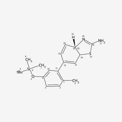 Cc1ccc(O[Si](C)(C)C(C)(C)C)cc1C1=CC2SC(N)=N[C@H]2C=C1